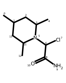 CC1CC(C)N(C(Cl)C(N)=O)C(C)C1